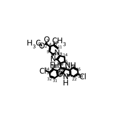 COC(=O)c1cc2nc3c(n2cc1C)CC1N[C@@]2(C(=O)Nc4cc(Cl)ccc42)[C@@H](c2cccc(Cl)c2F)[C@H]31